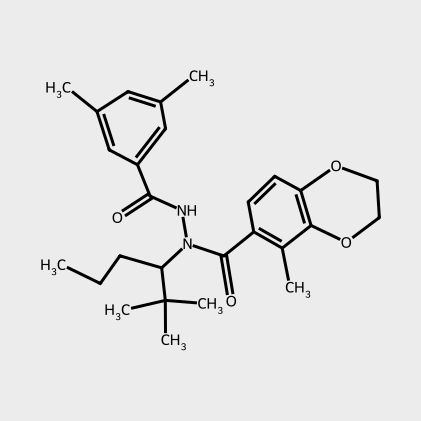 CCCC(N(NC(=O)c1cc(C)cc(C)c1)C(=O)c1ccc2c(c1C)OCCO2)C(C)(C)C